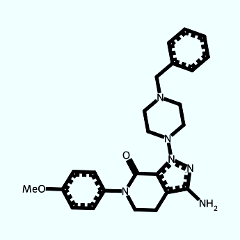 COc1ccc(N2CCc3c(N)nn(N4CCN(Cc5ccccc5)CC4)c3C2=O)cc1